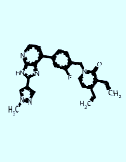 C=Cc1ccn(Cc2ccc(-c3ccnc4[nH]c(-c5cnn(C)c5)nc34)cc2F)c(=O)c1C=C